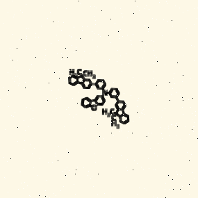 CC1(C)c2ccccc2-c2ccc(-c3cccc(N(c4cccc(-c5ccc6c(c5)C(C)(C)c5ccccc5-6)c4)c4ccc5oc6ccccc6c5c4)c3)cc21